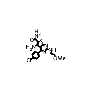 COCCNc1nc(-c2ccc(Cl)cc2)c2c(N)c(C(N)=O)sc2n1